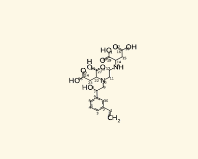 C=Cc1cccc(C(O)CN(CCNC(CC(=O)O)C(=O)O)C(CC(=O)O)C(=O)O)c1